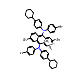 C=C(/C=C(C)/C(=c1/ccc(C(C)(C)C)c/c1=C(/C=C/C)N(c1ccc(C(C)C)cc1)c1ccc(C2CCCCC2)cc1)N(c1ccc(C(C)C)cc1)c1ccc(C2CCCCC2)cc1)C(C)(C)C